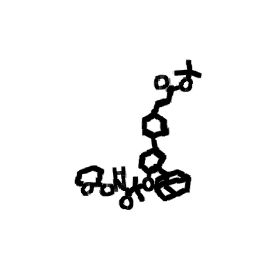 CC(C)(C)OC(=O)C=Cc1ccc(-c2ccc(OC(C)(C)C(=O)NOC3CCCCO3)c(C34CC5CC(CC(C5)C3)C4)c2)cc1